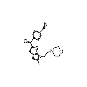 Cc1cc2cc(C(=O)c3ccc(C#N)cc3)sc2n1CCN1CCOCC1